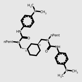 CCCCCN(C[C@H]1CCC[C@H](CN(CCCCC)C(=O)Nc2ccc(N(C)C)cc2)C1)C(=O)Nc1ccc(N(C)C)cc1